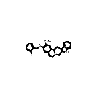 COc1cc2c(cc1OCc1ccccc1F)CCN1Cc3[nH]c4ccccc4c3CC21